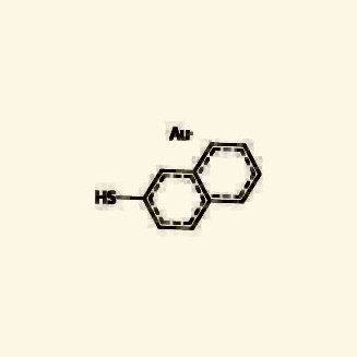 Sc1ccc2ccccc2c1.[Au]